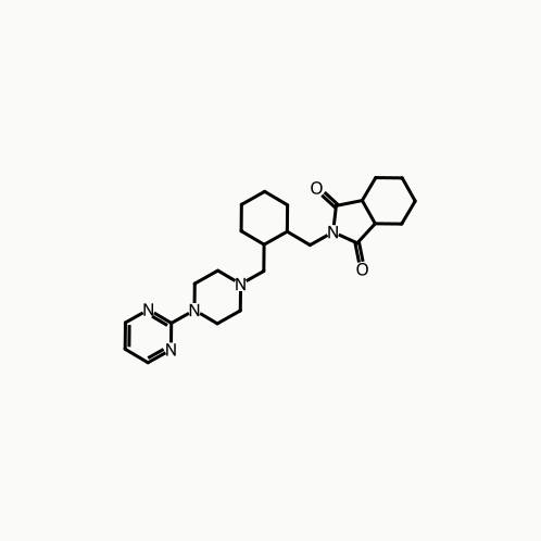 O=C1C2CCCCC2C(=O)N1CC1CCCCC1CN1CCN(c2ncccn2)CC1